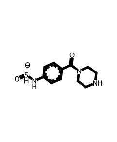 O=C(c1ccc(N[SH](=O)=O)cc1)N1CCNCC1